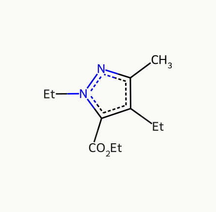 CCOC(=O)c1c(CC)c(C)nn1CC